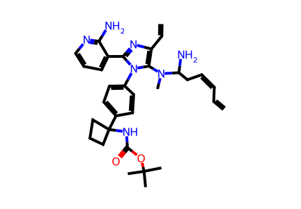 C=C/C=C\CC(N)N(C)c1c(C=C)nc(-c2cccnc2N)n1-c1ccc(C2(NC(=O)OC(C)(C)C)CCC2)cc1